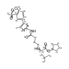 Cc1nc(NC(=O)CCCN[C@@H](CC(C)C)C(=O)OC2CCCC2)sc1-c1ccc(Cl)c(S(C)(=O)=O)c1